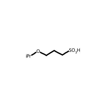 [CH2]C(C)OCCCS(=O)(=O)O